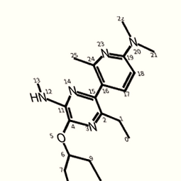 CCc1nc(OC(CC)CC)c(NC)nc1-c1ccc(N(C)C)nc1C